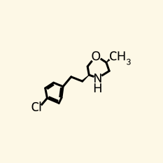 C[C@H]1CN[C@@H](CCc2ccc(Cl)cc2)CO1